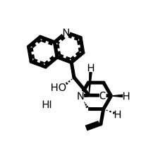 C=C[C@H]1C[N@]2CC[C@H]1C[C@H]2[C@H](O)c1ccnc2ccccc12.I